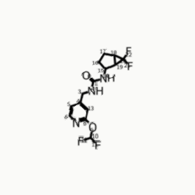 O=C(NCc1ccnc(OC(F)F)c1)NC1CCC2C1C2(F)F